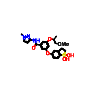 COC[C@H](C)Oc1cc(Oc2ccc3c(c2)CCS3(O)O)cc(C(=O)Nc2ccn(C)n2)c1